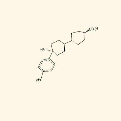 CCCc1ccc([C@]2(CCC)CC[C@H]([C@H]3CC[C@H](C(=O)O)CC3)CC2)cc1